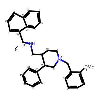 COc1ccccc1CN1CCC(CN[C@H](C)c2cccc3ccccc23)C(c2ccccc2)C1